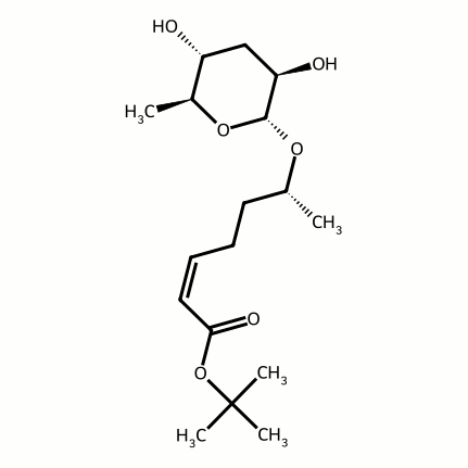 C[C@H](CC/C=C\C(=O)OC(C)(C)C)O[C@@H]1O[C@@H](C)[C@H](O)C[C@H]1O